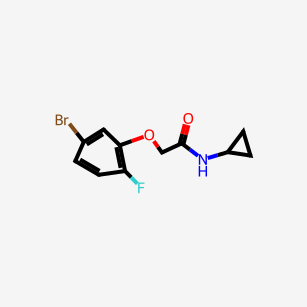 O=C(COc1cc(Br)ccc1F)NC1CC1